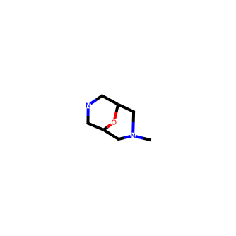 CN1CC2C[N]CC(C1)O2